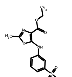 CCOC(=O)c1nc(C)sc1Nc1cccc(S(N)(=O)=O)c1